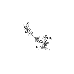 COc1ccc(S(=O)(=O)Nc2cc3c(cc2Oc2ccc(OCC(=O)NCCCCNC(=O)COc4cccc5c4C(=O)N(C4CCC(=O)NC4=O)C5=O)cc2)n(C)c(=O)n3C)cc1OC